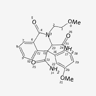 COCCN1C(=O)c2ccccc2C(C(N)=O)(c2cccc(OC)c2)C1C(N)=O